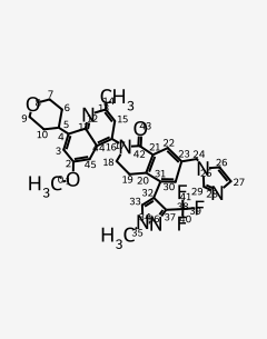 COc1cc(C2CCOCC2)c2nc(C)cc(N3CCc4c(cc(Cn5ccnc5)cc4-c4cn(C)nc4C(F)(F)F)C3=O)c2c1